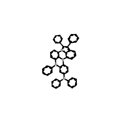 c1ccc(-c2c(-c3ccccc3)n3c4c(cccc24)B2c4ccc(N(c5ccccc5)c5ccccc5)cc4N(c4ccccc4)c4cccc-3c42)cc1